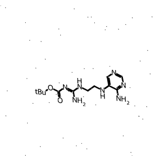 CC(C)(C)OC(=O)/N=C(\N)NCCNc1cncnc1N